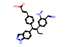 CC/C(=C(/c1ccc(/C=C/C(=O)O)cc1)c1ccc2[nH]ncc2c1)c1ccc(C=N)c(NC)c1